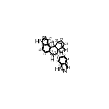 c1cc2cn[nH]c2cc1[C@@H]1Nc2ccc3[nH]ncc3c2[C@H]2C3CC[C@@H](C3)[C@@H]12